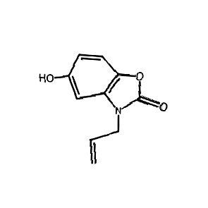 C=CCn1c(=O)oc2ccc(O)cc21